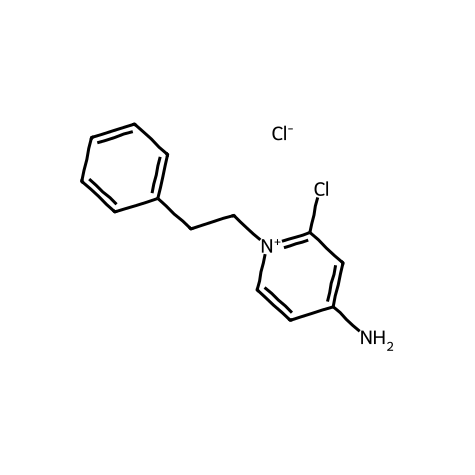 Nc1cc[n+](CCc2ccccc2)c(Cl)c1.[Cl-]